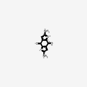 Nc1cc2c(s1)C(=O)c1cc(N)sc1C2=O